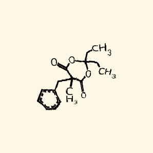 CCC1(CC)OC(=O)C(C)(Cc2ccccc2)C(=O)O1